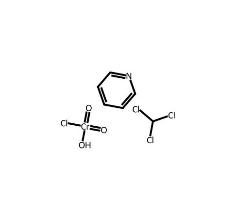 ClC(Cl)Cl.[O]=[Cr](=[O])([OH])[Cl].c1ccncc1